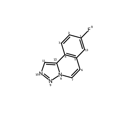 Fc1ccc2c(ccn3nncc23)c1